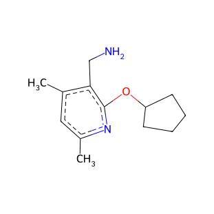 Cc1cc(C)c(CN)c(OC2CCCC2)n1